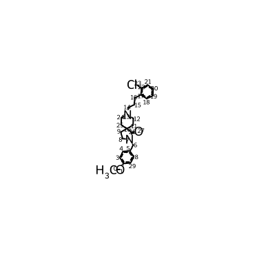 COc1ccc(CN2CCC3(CCN(CC[CH]c4ccccc4Cl)CC3)C2=O)cc1